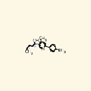 Bc1ccc(-c2cc(C)c(/C(C)=C/C=C\C)cn2)cc1